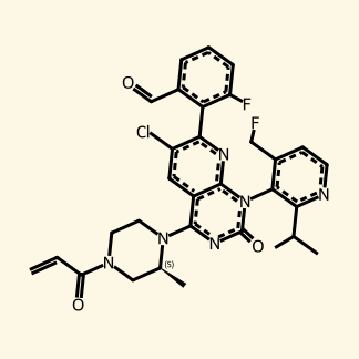 C=CC(=O)N1CCN(c2nc(=O)n(-c3c(CF)ccnc3C(C)C)c3nc(-c4c(F)cccc4C=O)c(Cl)cc23)[C@@H](C)C1